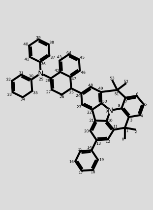 CC1(C)c2cccc3c2-n2c4c1cc(-c1ccccc1)cc4c1cc(C4CC=C(N(C5=CC=CCC5)c5ccccc5)c5ccccc54)cc(c12)C3(C)C